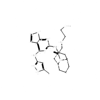 COCCNCC(=O)N1C2CCCC1CC(Nc1nc(Nc3cc(C)[nH]n3)c3ccsc3n1)C2